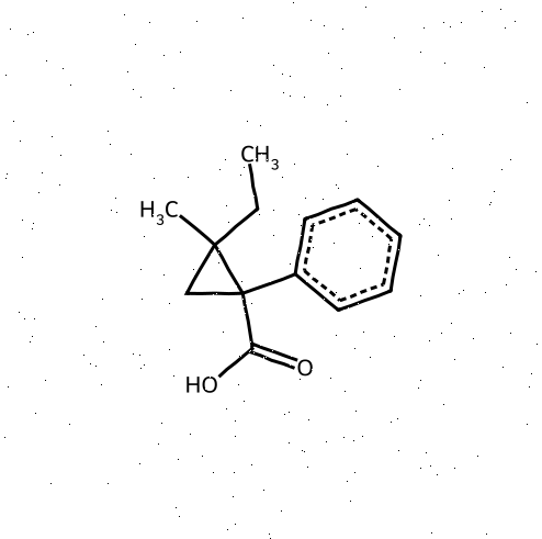 CCC1(C)CC1(C(=O)O)c1ccccc1